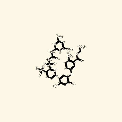 CCOC(=O)COC(=O)c1cc(Oc2ccc(C(F)(F)F)cc2Cl)ccc1[N+](=O)[O-].CCS(=O)(=O)c1cccnc1S(=O)(=O)NC(=O)Nc1nc(OC)cc(OC)n1